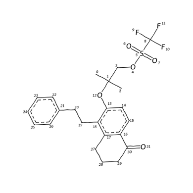 CC(C)(COS(=O)(=O)C(F)(F)F)Oc1ccc2c(c1CCc1ccccc1)CCCC2=O